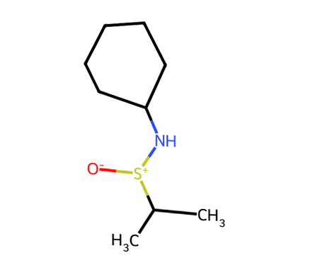 CC(C)[S+]([O-])NC1CCCCC1